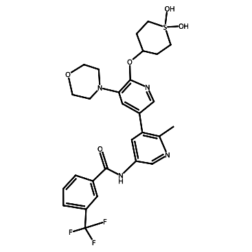 Cc1ncc(NC(=O)c2cccc(C(F)(F)F)c2)cc1-c1cnc(OC2CCS(O)(O)CC2)c(N2CCOCC2)c1